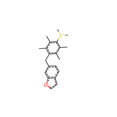 Cc1c(C)c([S+](C)C)c(C)c(C)c1Cc1ccc2ccoc2c1